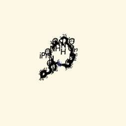 CC(C)[C@@H]1NC(=O)C2(/C=C/c3ccc4ccc(nc4c3)[C@@H](C)OC(=O)C3CCCN(N3)C(=O)[C@H](C)NC1=O)CCN(Cc1ccccc1)CC2